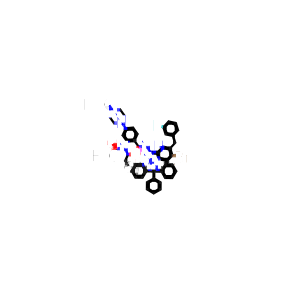 COCCN(C(=O)C(F)(F)F)c1cc(N2CCN(C)CC2)ccc1C(=O)Nc1nn(C(c2ccccc2)(c2ccccc2)c2ccccc2)c2cc(Br)c(Cc3cccc(F)c3)cc12